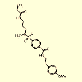 C=CC(=O)NCCCN(C)S(=O)(=O)c1ccc(C(=O)NCCc2ccc(OC)cc2)cc1